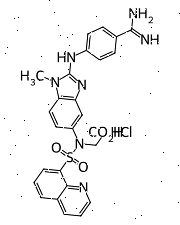 Cl.Cn1c(Nc2ccc(C(=N)N)cc2)nc2cc(N(CC(=O)O)S(=O)(=O)c3cccc4cccnc34)ccc21